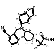 N#Cc1ccccc1CN(c1ccc2sccc2c1)C1CCNCC1.O=C(O)C(F)(F)F